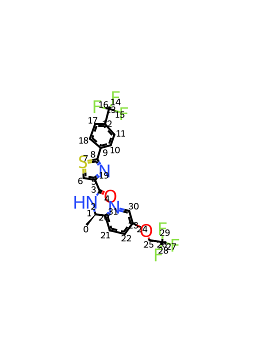 C[C@@H](NC(=O)c1csc(-c2ccc(C(F)(F)F)cc2)n1)c1ccc(OCC(F)(F)F)cn1